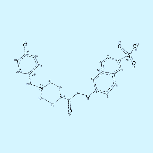 O=C(COc1ccc2cc(S(=O)(=O)O)ccc2c1)N1CCN(Cc2ccc(Cl)cc2)CC1